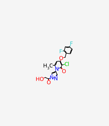 Cc1cc(OCc2ccc(F)cc2F)c(Cl)c(=O)n1-c1cnn(C(=O)CO)c1